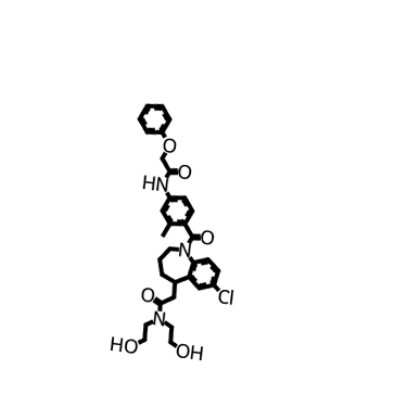 Cc1cc(NC(=O)COc2ccccc2)ccc1C(=O)N1CCCC(CC(=O)N(CCO)CCO)c2cc(Cl)ccc21